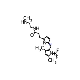 CNCCNC(=O)CCC1=N/C(=C\c2c(C)cc(C)n2B(F)F)C=C1